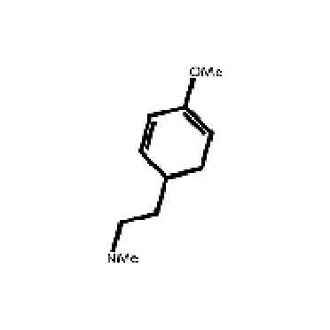 CNCCC1C=CC(OC)=CC1